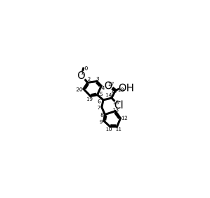 COc1ccc(C(Cc2ccccc2)C(Cl)C(=O)O)cc1